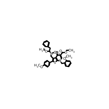 CCOC(=O)c1cn(Cc2ccccc2OC)c2sc(-c3ccc(OC)cc3)c(CN(C)C(Cc3ccccc3)OC)c2c1=O